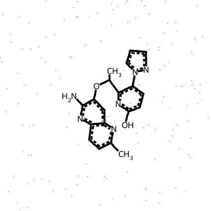 Cc1ccc2nc(N)c(OC(C)c3nc(O)ccc3-n3cccn3)cc2n1